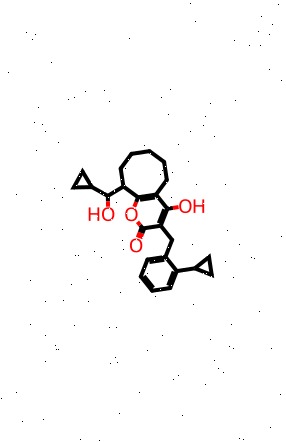 O=c1oc2c(c(O)c1Cc1ccccc1C1CC1)CCCCCC2C(O)C1CC1